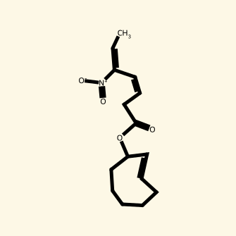 C/C=C(\C=C/CC(=O)OC1/C=C/CCCCC1)[N+](=O)[O-]